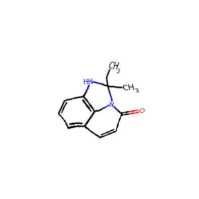 CC1(C)Nc2cccc3ccc(=O)n1c23